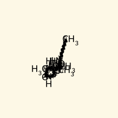 CCCCCCCCCCCCNC(=O)N[C@H](C(=O)N[C@H]1CSCCNC(=O)/C=C/[C@H](C)NC1=O)C(C)C